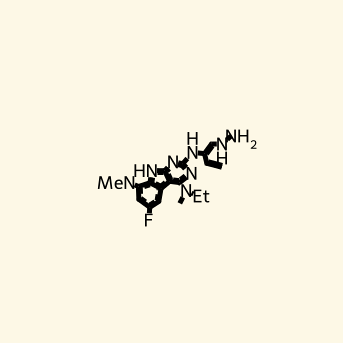 C=C/C(=C\NN)Nc1nc(N(C)CC)c2c(n1)[nH]c1c(NC)cc(F)cc12